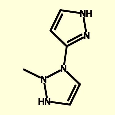 CN1NC=CN1c1cc[nH]n1